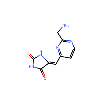 NCc1nccc(/C=C2\NC(=O)NC2=O)n1